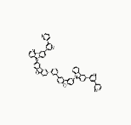 c1cncc(-c2cncc(-c3ccc4c(c3)c3ccccc3n4-c3ccc4oc5ccc(-c6cccc(-c7ccc8oc9ccc(-n%10c%11ccc(-c%12cncc(-c%13cccnc%13)c%12)cc%11c%11ncccc%11%10)cc9c8c7)c6)cc5c4c3)c2)c1